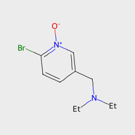 CCN(CC)Cc1ccc(Br)[n+]([O-])c1